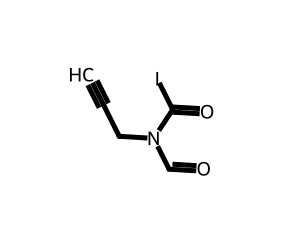 C#CCN(C=O)C(=O)I